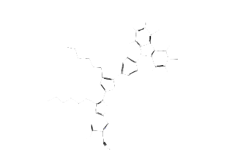 CCCCCCc1cc(-c2sc(/C=C(/C#N)C(=O)O)cc2CCCCCC)sc1-c1ccc(-n2c3c(c4c(F)c(F)c(F)c(F)c42)C(F)C(F)C(F)=C3F)cc1